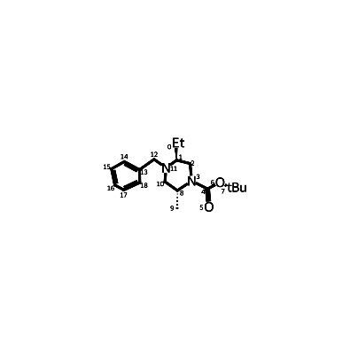 CC[C@H]1CN(C(=O)OC(C)(C)C)[C@H](C)CN1Cc1ccccc1